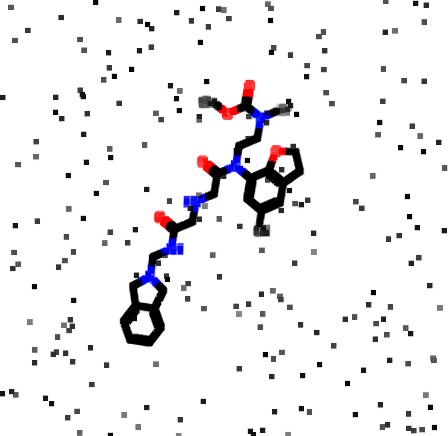 CC(C)N(CCN(C(=O)CNCC(=O)NCN1Cc2ccccc2C1)c1cc(C#N)cc2c1OCC2)C(=O)OC(C)(C)C